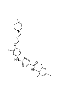 Cc1cc(C)c(NC(=O)c2cnc(Nc3ccc(OCCCN4CCN(C)CC4)c(F)c3)nc2)c(C)c1